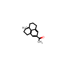 CC(=O)c1cc2c3c(c1)CCCC3(C)CCC2